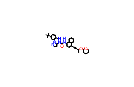 Cc1ccc(C(C)(C)C)cc1-n1nccc1NC(=O)Nc1ccc(C#CC(C)OC2CCCCO2)c2ccccc12